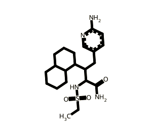 CCS(=O)(=O)NC(C(N)=O)C(Cc1ccc(N)nc1)C1CCCC2CCCCC21